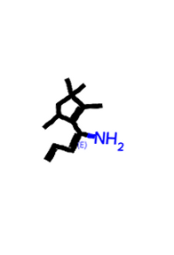 C=C/C=C(/N)C1=C(C)C(C)(C)CC1C